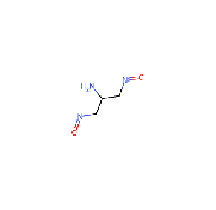 NC(CN=O)CN=O